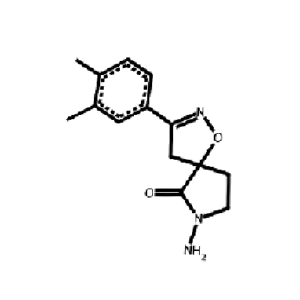 Cc1ccc(C2=NOC3(CCN(N)C3=O)C2)cc1C